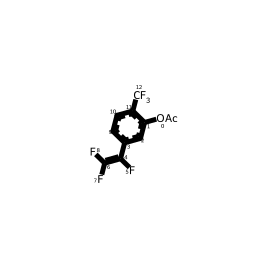 CC(=O)Oc1cc(C(F)=C(F)F)ccc1C(F)(F)F